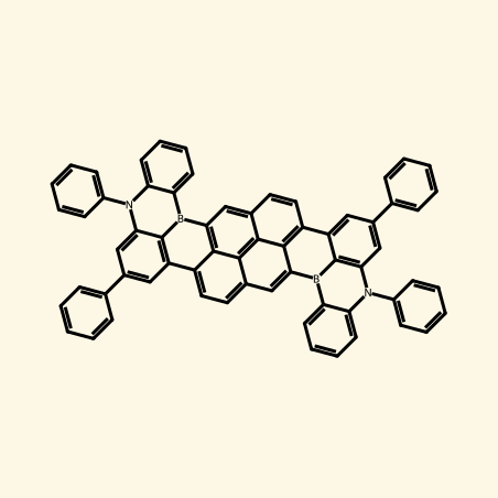 c1ccc(-c2cc3c4c(c2)N(c2ccccc2)c2ccccc2B4c2cc4ccc5c6c(cc7ccc-3c2c7c46)B2c3ccccc3N(c3ccccc3)c3cc(-c4ccccc4)cc-5c32)cc1